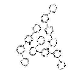 c1ccc(-c2cccc(-c3ccc(-c4ccccc4-c4cc(-c5ccccc5-c5ccc(-c6cccc(-c7ccccc7)c6)nc5)cc(-c5ccccc5-c5ccc(-c6cccc(-c7ccccc7)c6)nc5)c4)cn3)c2)cc1